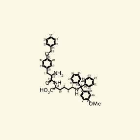 COc1ccc(C(NCCCCC(NC(=O)C(N)Cc2ccc(OCc3ccccc3)cc2)C(=O)O)(c2ccccc2)c2ccccc2)cc1